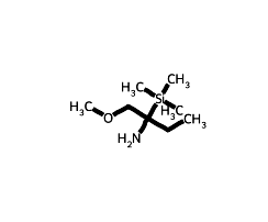 CCC(N)(COC)[Si](C)(C)C